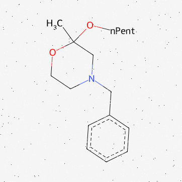 CCCCCOC1(C)CN(Cc2ccccc2)CCO1